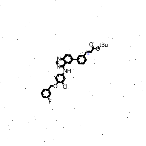 CC(C)(C)OC(=O)/C=C/c1cccc(-c2ccc3ncnc(Nc4ccc(OCc5cccc(F)c5)c(Cl)c4)c3c2)c1